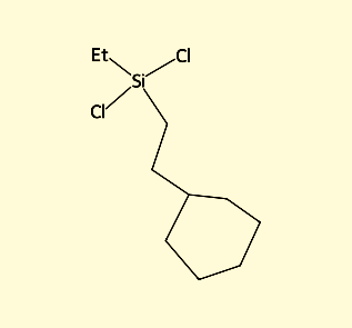 CC[Si](Cl)(Cl)CCC1CCCCC1